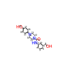 O=C(Nc1cccc(CO)c1)N1CCN(c2ccc(O)cc2)CC1